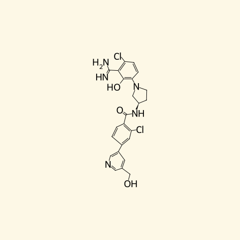 N=C(N)c1c(Cl)ccc(N2CC[C@@H](NC(=O)c3ccc(-c4cncc(CO)c4)cc3Cl)C2)c1O